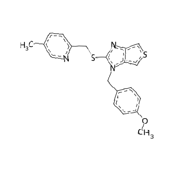 COc1ccc(Cn2c(SCc3ccc(C)cn3)nc3cscc32)cc1